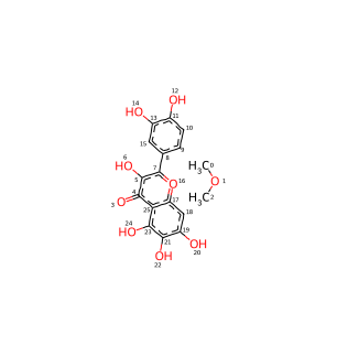 COC.O=c1c(O)c(-c2ccc(O)c(O)c2)oc2cc(O)c(O)c(O)c12